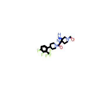 O=CN1CCc2c(C(=O)N3CCC(c4ccc(F)c(F)c4C(F)(F)F)CC3)n[nH]c2C1